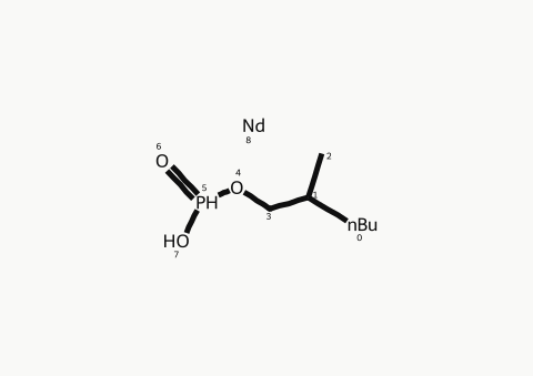 CCCCC(C)CO[PH](=O)O.[Nd]